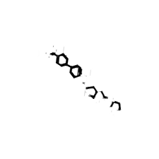 Cl.N=C(N)c1ccc(-c2ccc(OC[C@@H]3C[C@@H](CC(=O)OC4CCOC4)C(=O)N3)cc2)cc1